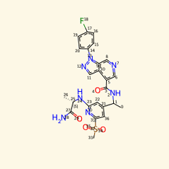 CC(NC(=O)c1cncc2c1cnn2-c1ccc(F)cc1)c1cc(N[C@@H](C)C(N)=O)nc(S(C)(=O)=O)c1